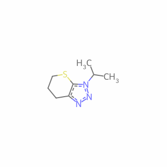 CC(C)n1nnc2c1SCCC2